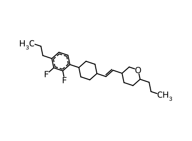 CCCc1ccc(C2CCC(/C=C/C3CCC(CCC)OC3)CC2)c(F)c1F